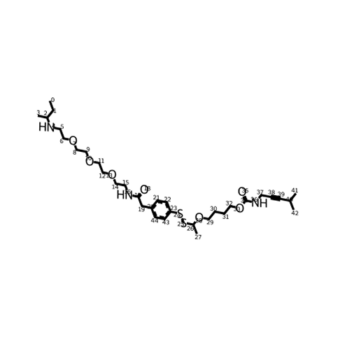 CCC(C)NCCOCCOCCOCCNC(=O)Cc1ccc(SSC(C)OCCCCOC(=O)NCC#CC(C)C)cc1